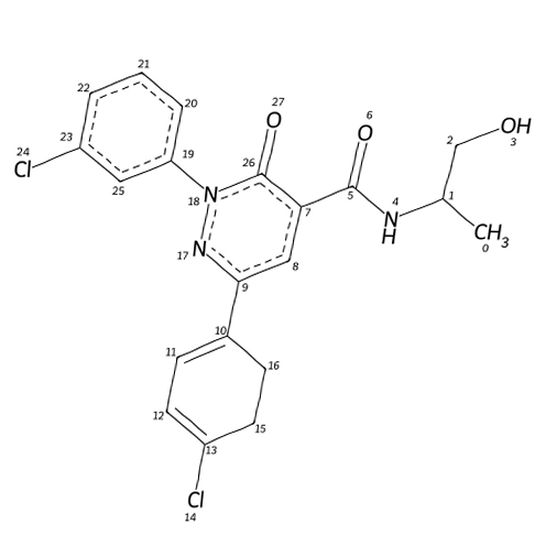 CC(CO)NC(=O)c1cc(C2=CC=C(Cl)CC2)nn(-c2cccc(Cl)c2)c1=O